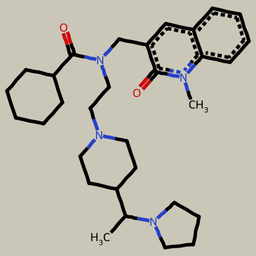 CC(C1CCN(CCN(Cc2cc3ccccc3n(C)c2=O)C(=O)C2CCCCC2)CC1)N1CCCC1